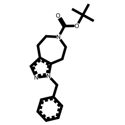 CC(C)(C)OC(=O)N1CCc2cnn(Cc3ccccc3)c2CC1